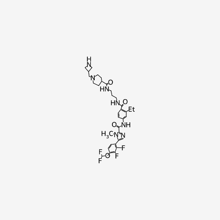 CCc1cc(NC(=O)c2ncc(-c3ccc(OC(F)F)c(F)c3F)n2C)ccc1C(=O)NCCCNC(=O)C1CCN(CC2CNC2)CC1